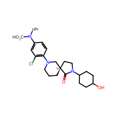 CCCN(C(=O)O)c1ccc(N2CCC[C@]3(CCN(C4CCC(O)CC4)C3=O)C2)c(Cl)c1